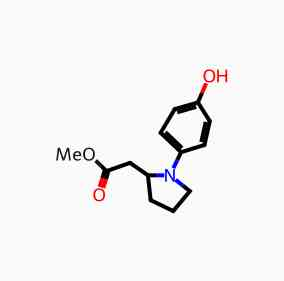 COC(=O)CC1CCCN1c1ccc(O)cc1